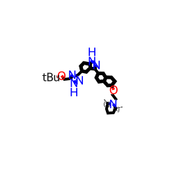 C[C@@H]1CCC[C@H](C)N1CCOc1ccc2cc(-c3n[nH]c4ccc(-c5n[nH]c(COC(C)(C)C)n5)cc34)ccc2c1